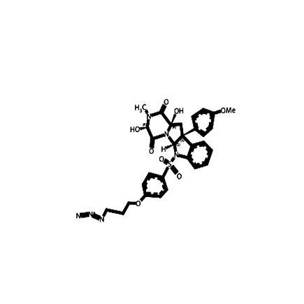 COc1ccc([C@]23C[C@@]4(O)C(=O)N(C)[C@H](O)C(=O)N4[C@H]2N(S(=O)(=O)c2ccc(OCCCN=[N+]=[N-])cc2)c2ccccc23)cc1